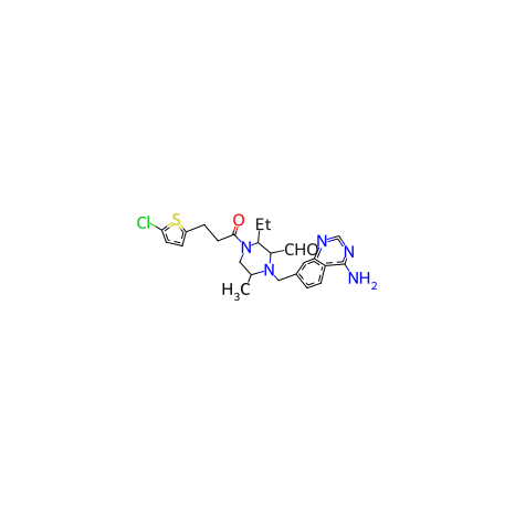 CCC1C(C=O)N(Cc2ccc3c(N)ncnc3c2)C(C)CN1C(=O)CCc1ccc(Cl)s1